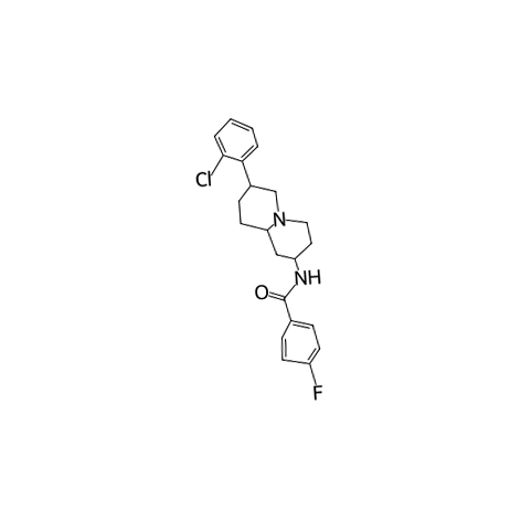 O=C(NC1CCN2CC(c3ccccc3Cl)CCC2C1)c1ccc(F)cc1